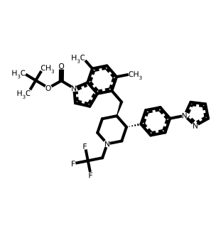 Cc1cc(C)c2c(ccn2C(=O)OC(C)(C)C)c1C[C@@H]1CCN(CC(F)(F)F)C[C@H]1c1ccc(-n2cccn2)cc1